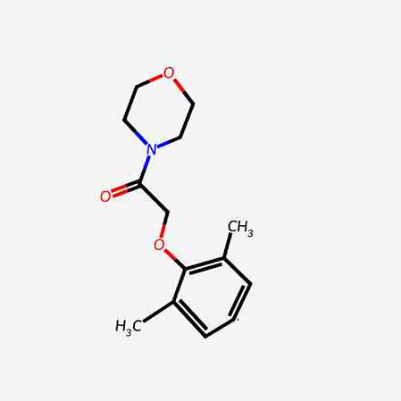 Cc1c[c]cc(C)c1OCC(=O)N1CCOCC1